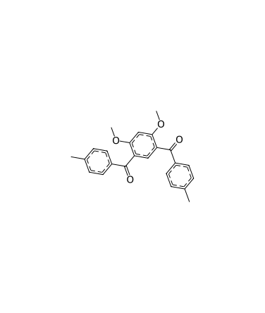 COc1cc(OC)c(C(=O)c2ccc(C)cc2)cc1C(=O)c1ccc(C)cc1